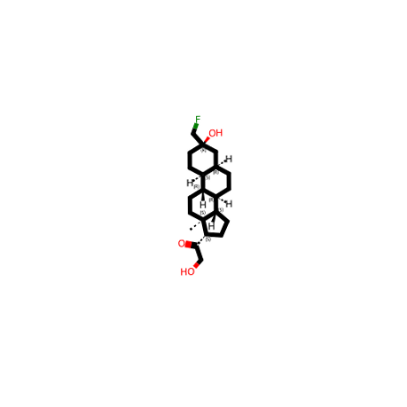 C[C@]12CC[C@H]3[C@@H](CC[C@@H]4C[C@@](O)(CF)CC[C@@H]43)[C@@H]1CC[C@@H]2C(=O)CO